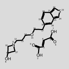 O=C(O)C=CC(=O)O.OC1CN(CCCOCCc2ccc3cscc3c2)C1